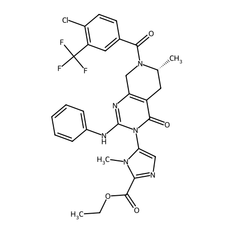 CCOC(=O)c1ncc(-n2c(Nc3ccccc3)nc3c(c2=O)C[C@@H](C)N(C(=O)c2ccc(Cl)c(C(F)(F)F)c2)C3)n1C